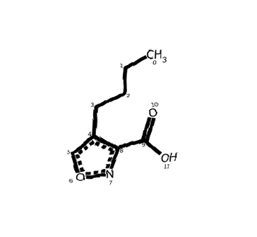 CCCCc1conc1C(=O)O